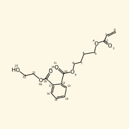 C=CC(=O)OCCCCOC(=O)c1ccccc1C(=O)OCCO